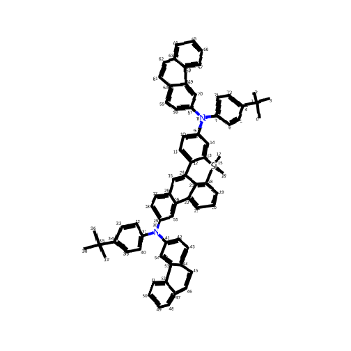 CC(C)(C)c1ccc(N(c2ccc3c(c2)[Si](C)(C)c2cccc4c2c-3cc2ccc(N(c3ccc(C(C)(C)C)cc3)c3ccc5ccc6ccccc6c5c3)cc24)c2ccc3ccc4ccccc4c3c2)cc1